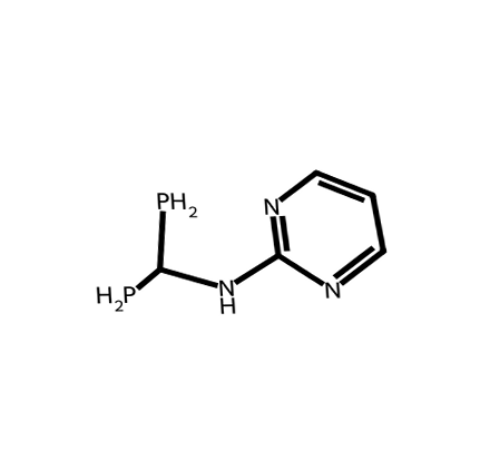 PC(P)Nc1ncccn1